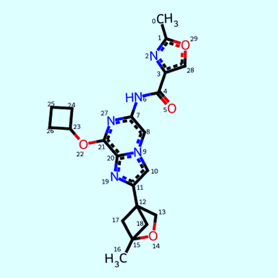 Cc1nc(C(=O)Nc2cn3cc(C45COC(C)(C4)C5)nc3c(OC3CCC3)n2)co1